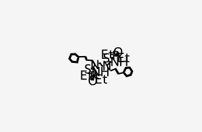 CCP(=O)(CC)NC(=S)N(CC=Cc1ccccc1)CCN(CC=Cc1ccccc1)C(=S)NP(=O)(CC)CC